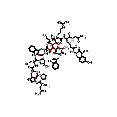 CCCC[C@@H](C(=O)N(C)[C@@H](CCCC)C(=O)N[C@@H](CCCNC(=N)N)C(=O)NC(CSCC(=O)N[C@@H](Cc1ccc(O)cc1)C(=O)NC)C(=O)NCC(N)=O)N(C)C(=O)[C@H](Cc1c[nH]c2ccccc12)NC(=O)[C@H](CO)NC(=O)[C@H](Cc1c[nH]c2ccccc12)NC(=O)[C@@H]1C[C@@H](O)CN1C(=O)[C@H](CO)NC(=O)[C@H](Cc1cnc[nH]1)NC(=O)[C@@H]1CCCN1C(=O)[C@@H](N)CC(N)=O